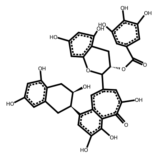 O=C(O[C@H]1Cc2c(O)cc(O)cc2OC1c1cc(O)c(=O)c2c(O)c(O)cc([C@H]3Cc4cc(O)cc(O)c4C[C@H]3O)c2c1)c1cc(O)c(O)c(O)c1